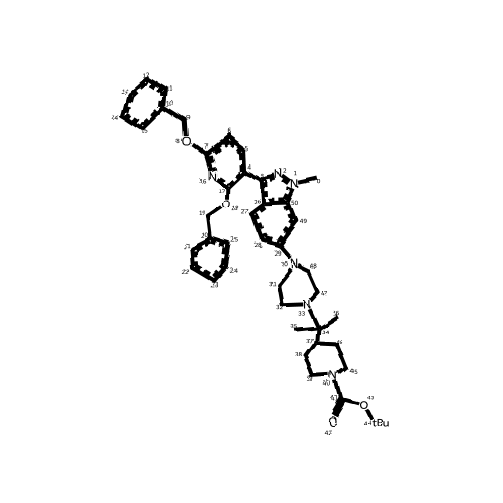 Cn1nc(-c2ccc(OCc3ccccc3)nc2OCc2ccccc2)c2ccc(N3CCN(C(C)(C)C4CCN(C(=O)OC(C)(C)C)CC4)CC3)cc21